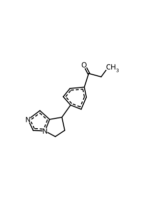 CCC(=O)c1ccc(C2CCn3cncc32)cc1